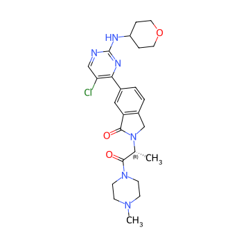 C[C@H](C(=O)N1CCN(C)CC1)N1Cc2ccc(-c3nc(NC4CCOCC4)ncc3Cl)cc2C1=O